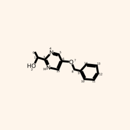 CC(O)c1ncc(OCc2ccccc2)cn1